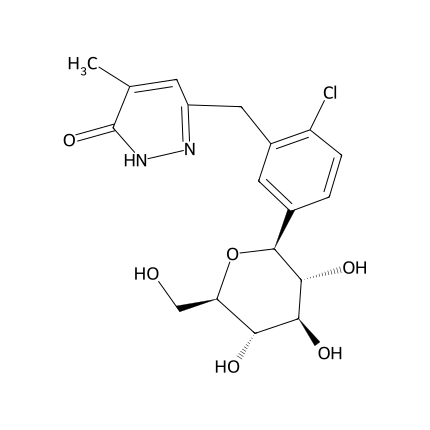 Cc1cc(Cc2cc([C@@H]3O[C@H](CO)[C@@H](O)[C@H](O)[C@H]3O)ccc2Cl)n[nH]c1=O